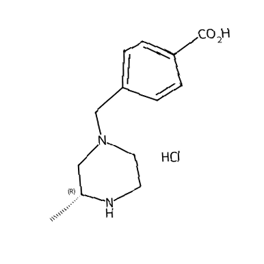 C[C@@H]1CN(Cc2ccc(C(=O)O)cc2)CCN1.Cl